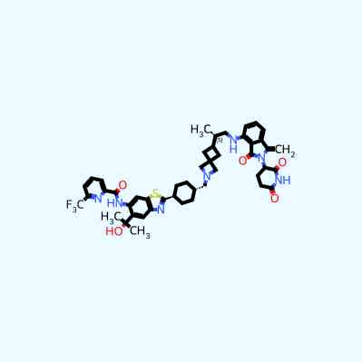 C=C1c2cccc(NC[C@@H](C)C3CC4(C3)CN(C[C@H]3CC[C@H](c5nc6cc(C(C)(C)O)c(NC(=O)c7cccc(C(F)(F)F)n7)cc6s5)CC3)C4)c2C(=O)N1C1CCC(=O)NC1=O